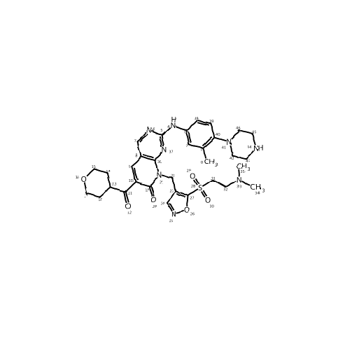 Cc1cc(Nc2ncc3cc(C(=O)C4CCOCC4)c(=O)n(Cc4cnoc4S(=O)(=O)CCN(C)C)c3n2)ccc1N1CCNCC1